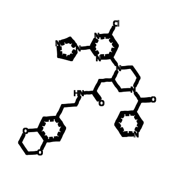 O=C(CC1CN(C(=O)c2cccnc2)CCN1c1cc(Cl)nc(-n2ccnc2)n1)NCCc1ccc2c(c1)OCCO2